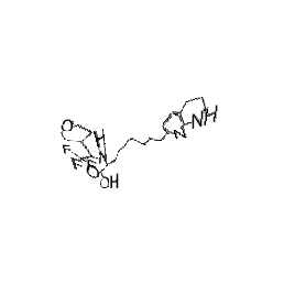 O=C(O)[C@H](CCCCCCCc1ccc2c(n1)NCCC2)NC(C1CCOCC1)C(F)(F)F